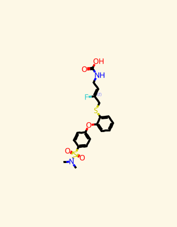 CN(C)S(=O)(=O)c1ccc(Oc2ccccc2SC/C(F)=C/CNC(=O)O)cc1